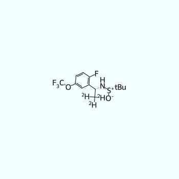 [2H]C([2H])([2H])[C@@H](N[S@@+]([O-])C(C)(C)C)c1cc(OC(F)(F)F)ccc1F